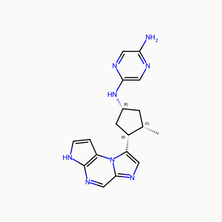 C[C@H]1C[C@@H](Nc2cnc(N)cn2)C[C@H]1c1cnc2cnc3[nH]ccc3n12